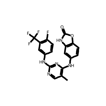 Cc1cnc(Nc2ccc(F)c(C(F)(F)F)c2)nc1Nc1ccc2oc(=O)[nH]c2c1